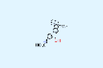 COc1ccc(-c2ccc(/C=C/C(=O)O)cc2CO)cc1C12CC3CC(CC(C3)C1)C2